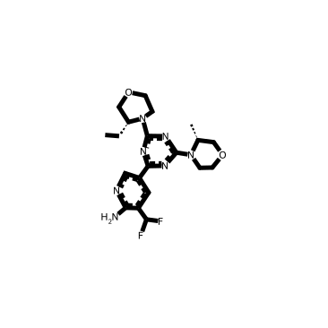 CC[C@@H]1COCCN1c1nc(-c2cnc(N)c(C(F)F)c2)nc(N2CCOC[C@H]2C)n1